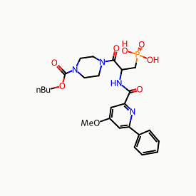 CCCCOC(=O)N1CCN(C(=O)C(CP(=O)(O)O)NC(=O)c2cc(OC)cc(-c3ccccc3)n2)CC1